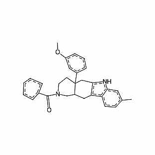 COc1cccc(C23CCN(C(=O)c4ccccc4)CC2Cc2c([nH]c4cc(C)ccc24)C3)c1